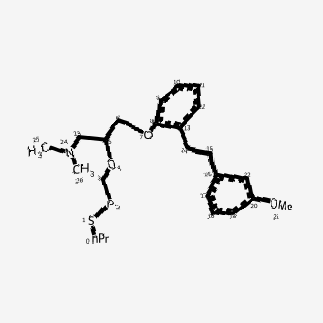 CCCS[P]COC(COc1ccccc1CCc1cccc(OC)c1)CN(C)C